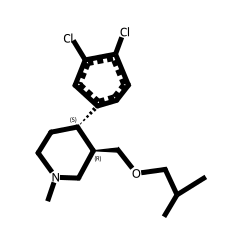 CC(C)COC[C@H]1CN(C)CC[C@@H]1c1ccc(Cl)c(Cl)c1